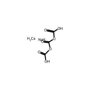 O=C(O)OC(=O)OC(=O)O.[CaH2].[NaH]